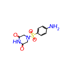 Nc1ccc(S(=O)(=O)N2CC(=O)NC(=O)C2)cc1